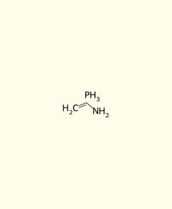 C=CN.P